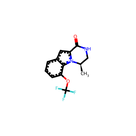 C[C@@H]1CNC(=O)c2cc3cccc(OC(F)(F)F)c3n21